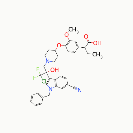 CCC(C(=O)O)c1ccc(OC2CCN(CC(O)(c3cn(Cc4ccccc4)c4cc(C#N)ccc34)C(F)(F)Cl)CC2)c(OC)c1